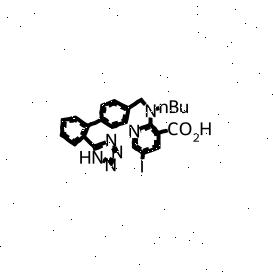 CCCCN(Cc1ccc(-c2ccccc2-c2nnn[nH]2)cc1)c1ncc(I)cc1C(=O)O